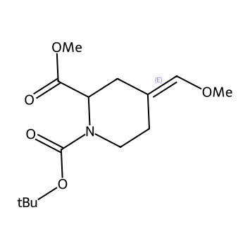 CO/C=C1\CCN(C(=O)OC(C)(C)C)C(C(=O)OC)C1